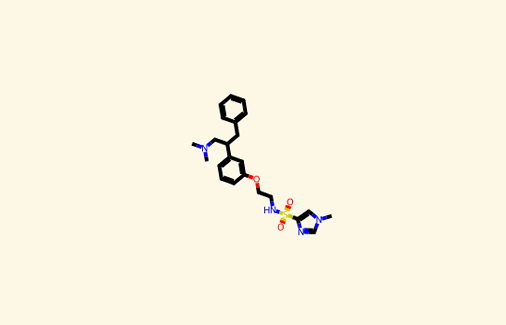 CN(C)CC(Cc1ccccc1)c1cccc(OCCNS(=O)(=O)c2cn(C)cn2)c1